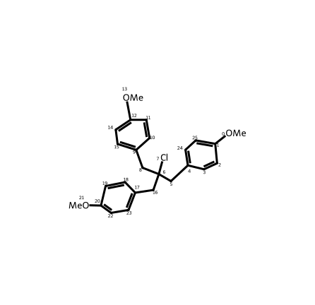 COc1ccc(CC(Cl)(Cc2ccc(OC)cc2)Cc2ccc(OC)cc2)cc1